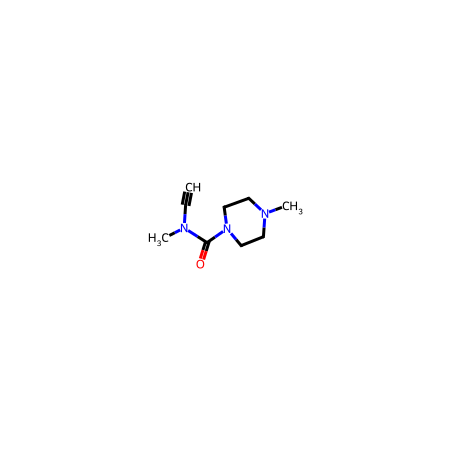 C#CN(C)C(=O)N1CCN(C)CC1